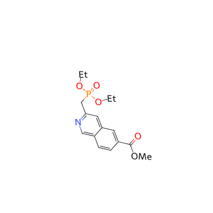 CCOP(=O)(Cc1cc2cc(C(=O)OC)ccc2cn1)OCC